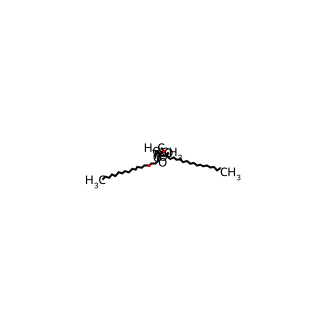 CCCCCCCCCCCCCCCCCC(=O)[O][Ti](=[O])([O]C(=O)CCCCCCCCCCCCCCCCC)[CH](C)C